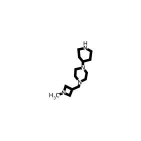 CN1CC(CN2CCN(C3CCNCC3)CC2)C1